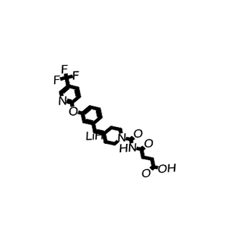 O=C(O)CCC(=O)NC(=O)N1CCC(=Cc2cccc(Oc3ccc(C(F)(F)F)cn3)c2)CC1.[LiH]